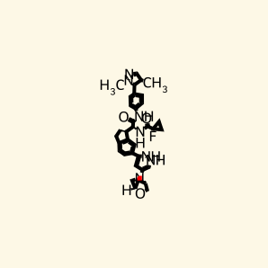 CC1C=NN(C)C1c1ccc(NC(=O)[C@@H](NC(=O)C2(F)CC2)[C@@H]2CCc3ccc(C4=CC(N5C[C@@H]6CC5CO6)=CNN4)cc32)cc1